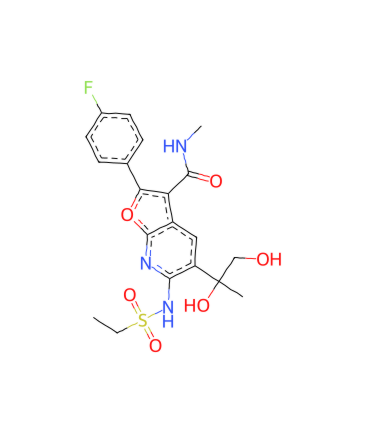 CCS(=O)(=O)Nc1nc2oc(-c3ccc(F)cc3)c(C(=O)NC)c2cc1C(C)(O)CO